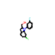 OCc1cc2ccc(Cl)cc2n1-c1cccc(F)c1